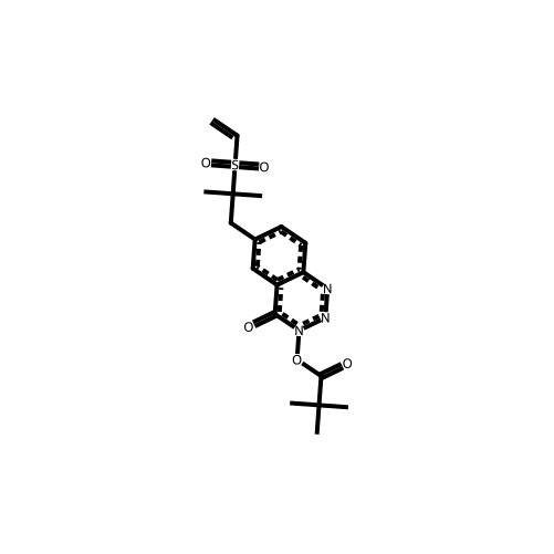 C=CS(=O)(=O)C(C)(C)Cc1ccc2nnn(OC(=O)C(C)(C)C)c(=O)c2c1